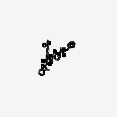 COC(=O)/C=C/CC[C@H](NC(=O)c1oc2ccccc2c1C)C(=O)Nc1cccn(CC(=O)NCC23CC4CC(CC2C4)C3)c1=O